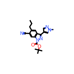 CCCc1cc2c(-c3cnn(C)c3)nn(C(=O)OC(C)(C)C)c2cc1C#N